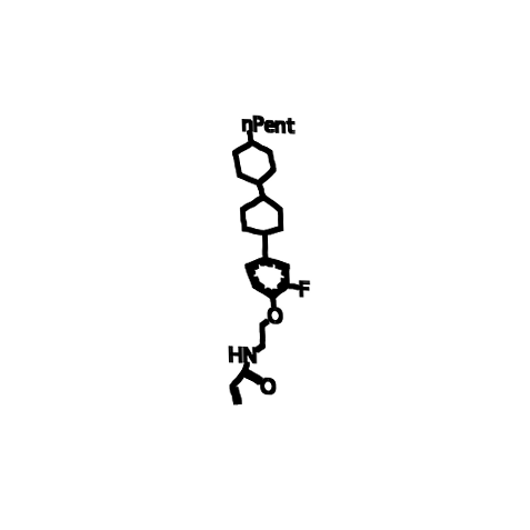 C=CC(=O)NCCOc1ccc(C2CCC(C3CCC(CCCCC)CC3)CC2)cc1F